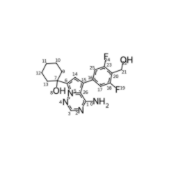 Nc1ncnn2c(C3(O)CCCCC3)cc(-c3cc(F)c(CO)c(F)c3)c12